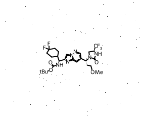 COCC[C@H](c1cnn2cc([C@@H](NC(=O)OC(C)(C)C)C3CCC(F)(F)CC3)nc2c1)N1C[C@@H](C(F)(F)F)NC1=O